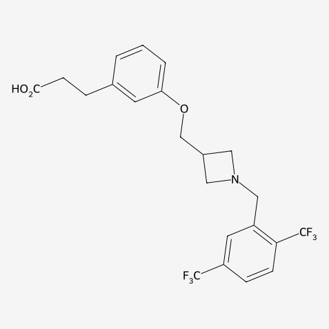 O=C(O)CCc1cccc(OCC2CN(Cc3cc(C(F)(F)F)ccc3C(F)(F)F)C2)c1